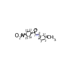 Cc1cccc(/C=C/C(=O)c2ccc([N+](=O)[O-])cc2)c1